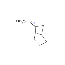 CCOC(=O)/C=C1/CC2CCCC12